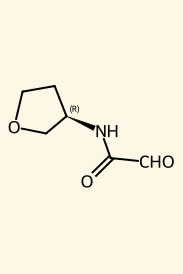 O=CC(=O)N[C@@H]1CCOC1